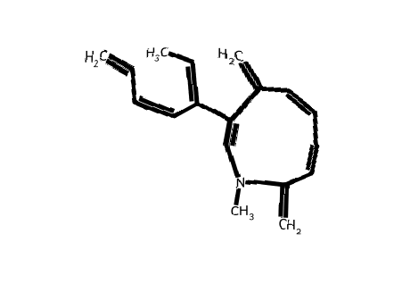 C=C/C=C\C(=C/C)c1cn(C)c(=C)ccccc1=C